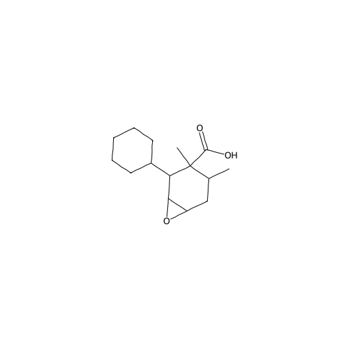 CC1CC2OC2C(C2CCCCC2)C1(C)C(=O)O